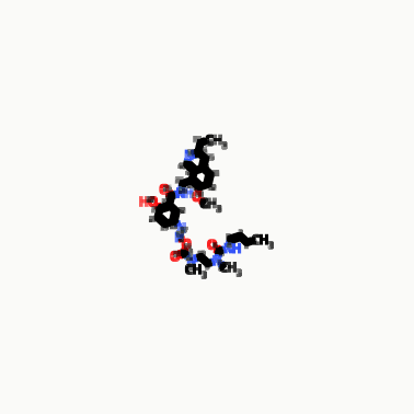 CC/C=C\NC(=O)N(C)CCN(C)C(=O)O/N=N/c1ccc(O)c(C(=O)NCc2c(OC)ccc3cc(CC)ncc23)c1